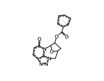 O=C(OC1CC2Cn3nnc4ccc(=O)n(c43)C1O2)c1ccccc1